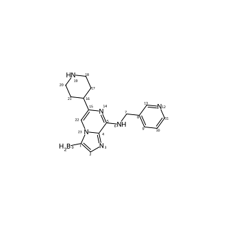 Bc1cnc2c(NCc3cccnc3)nc(C3CCNCC3)cn12